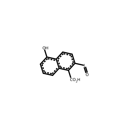 O=Ic1ccc2c(O)cccc2c1C(=O)O